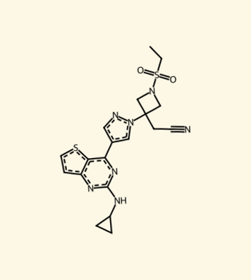 CCS(=O)(=O)N1CC(CC#N)(n2cc(-c3nc(NC4CC4)nc4ccsc34)cn2)C1